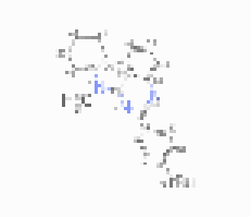 CN(c1nc(-c2ccc(C(C)(C)C)cc2)nc2ccccc12)C1CCCCC1